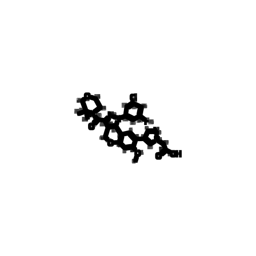 COc1cc2c(cc1-c1cnn(CC(=O)O)c1)-c1c(c(C(=O)N3CCOCC3(C)C)nn1-c1cc(F)cc(Cl)c1)CO2